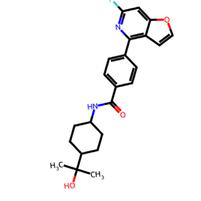 CC(C)(O)C1CCC(NC(=O)c2ccc(-c3nc(F)cc4occc34)cc2)CC1